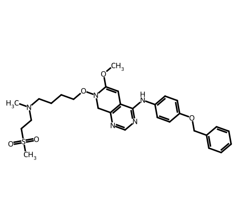 COC1=Cc2c(ncnc2Nc2ccc(OCc3ccccc3)cc2)CN1OCCCCN(C)CCS(C)(=O)=O